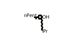 CCCCCC(C)(C)c1ccc(O)c(CCCCCCC(C)C)c1